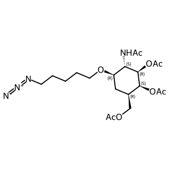 CC(=O)N[C@@H]1[C@@H](OC(C)=O)[C@@H](OC(C)=O)[C@@H](COC(C)=O)C[C@H]1OCCCCCN=[N+]=[N-]